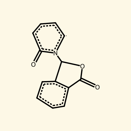 O=C1OC(n2[c]cccc2=O)c2ccccc21